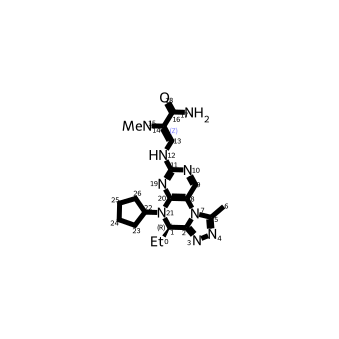 CC[C@@H]1c2nnc(C)n2-c2cnc(N/C=C(\NC)C(N)=O)nc2N1C1CCCC1